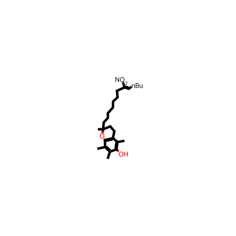 CCCCC=C(CCCCCCCC1(C)CCc2c(C)c(O)c(C)c(C)c2O1)[N+](=O)[O-]